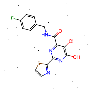 O=C(NCc1ccc(F)cc1)c1nc(-c2nccs2)nc(O)c1O